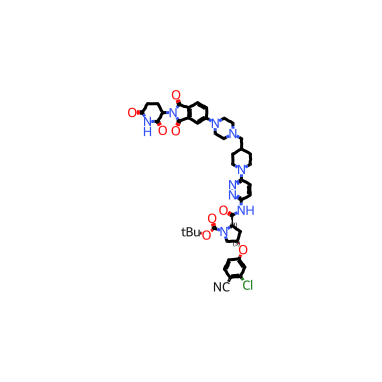 CC(C)(C)OC(=O)N1C[C@@H](Oc2ccc(C#N)c(Cl)c2)C[C@@H]1C(=O)Nc1ccc(N2CCC(CN3CCN(c4ccc5c(c4)C(=O)N(C4CCC(=O)NC4=O)C5=O)CC3)CC2)nn1